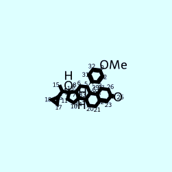 COc1ccc([C@H]2C[C@@]3(C)[C@@H](CC[C@@]3(O)C(C)C3CC3)[C@@H]3CCC4=CC(=O)CC[C@]4(C)C23)cc1